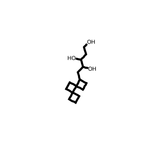 OCCC(O)C(O)CC1CCC12CCC21CCC1